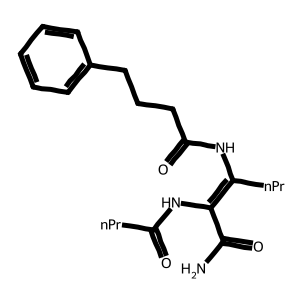 CCCC(=O)NC(C(N)=O)=C(CCC)NC(=O)CCCc1ccccc1